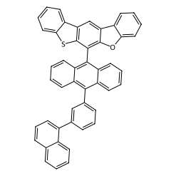 c1cc(-c2cccc3ccccc23)cc(-c2c3ccccc3c(-c3c4oc5ccccc5c4cc4c3sc3ccccc34)c3ccccc23)c1